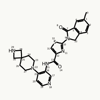 Cc1ccc2c(c1)C(=O)N(c1nc(C(=O)Nc3cnccc3N3CCC4(CC3)CNC4)cs1)C2